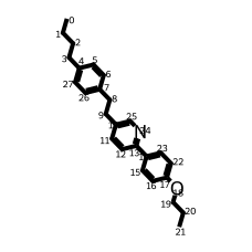 CCCCc1ccc(CCc2ccc(-c3ccc(OCCC)cc3)nc2)cc1